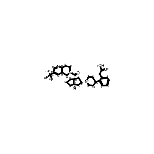 O=C(O)Cc1ccccc1C1CCN([C@@H]2C[C@H]3CCC[C@@]3(C(=O)N3CCc4ncc(C(F)(F)F)cc4C3)C2)CC1